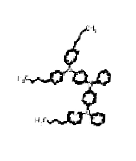 CCCCc1ccc(N(c2ccccc2)c2ccc(N(c3ccccc3)c3ccc(N(c4ccc(CCCC)cc4)c4ccc(CCCC)cc4)cc3)cc2)cc1